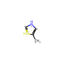 CC1=CNC=[SH]1